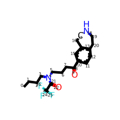 CCCCN(CCCC(=O)c1ccc2c(c1)CCNCC2)C(=O)C(F)(F)F